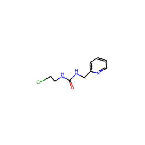 O=C(NCCCl)NCc1ccccn1